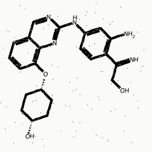 N=C(CO)c1ccc(Nc2ncc3cccc(O[C@H]4CC[C@@H](O)CC4)c3n2)cc1N